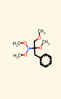 COCC(Cc1ccccc1)(OC)N(OC)OC